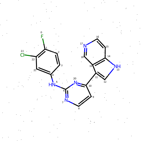 Fc1ccc(Nc2nccc(-c3c[nH]c4ccncc34)n2)cc1Cl